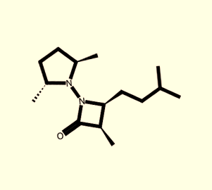 CC(C)CC[C@H]1[C@@H](C)C(=O)N1N1[C@H](C)CC[C@H]1C